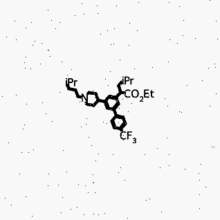 CCOC(=O)C(CC(C)C)c1cc(-c2ccc(C(F)(F)F)cc2)cc(C2CCN(CCCC(C)C)CC2)c1